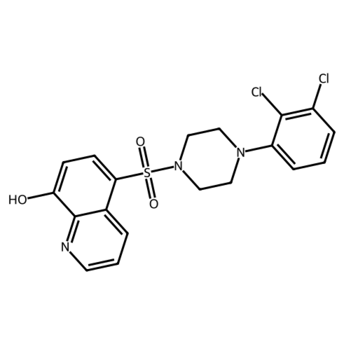 O=S(=O)(c1ccc(O)c2ncccc12)N1CCN(c2cccc(Cl)c2Cl)CC1